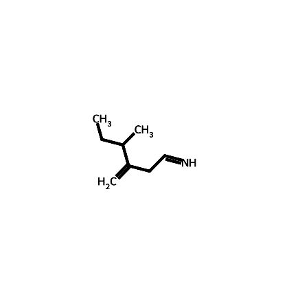 C=C(CC=N)C(C)CC